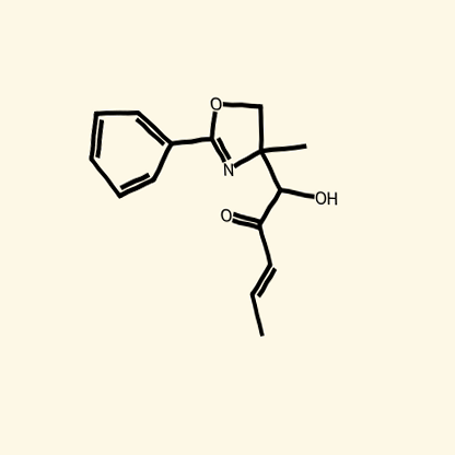 CC=CC(=O)C(O)C1(C)COC(c2ccccc2)=N1